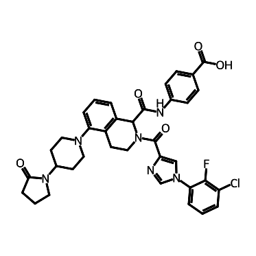 O=C(O)c1ccc(NC(=O)C2c3cccc(N4CCC(N5CCCC5=O)CC4)c3CCN2C(=O)c2cn(-c3cccc(Cl)c3F)cn2)cc1